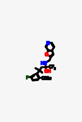 COc1ccc(F)cc1C(C)(C)CC(O)(NCc1cc2ccncc2o1)C(F)(F)F